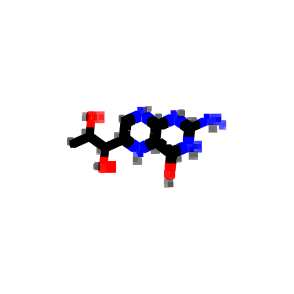 CC(O)C(O)c1cnc2nc(N)[nH]c(=O)c2n1